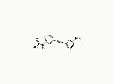 Nc1cccc(C#Cc2cccc(NC(=O)O)c2)c1